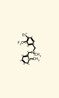 CCc1ccc(CN(C)CC2=CC=CCN2C)cc1C(F)(F)F